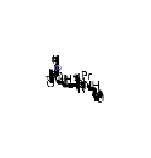 CCCNc1nc(NCCN2CCOCC2)ncc1C#CCCCNC(=O)[C@H](C)N(C)C(=O)/C=C/CN(C)C